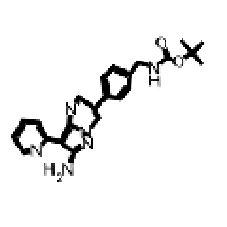 CC(C)(C)OC(=O)NCc1ccc(-c2cnc3c(-c4ccccn4)c(N)nn3c2)cc1